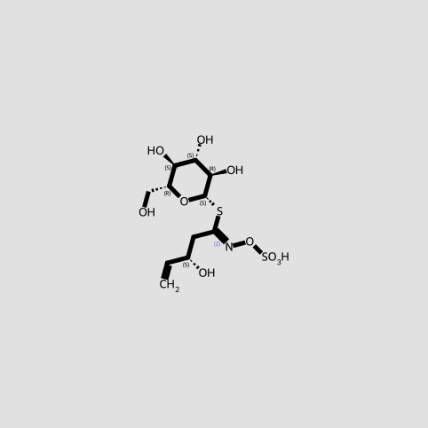 C=C[C@@H](O)C/C(=N/OS(=O)(=O)O)S[C@@H]1O[C@H](CO)[C@@H](O)[C@H](O)[C@H]1O